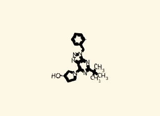 CC(C)(C)c1nc(N2CC[C@H](O)C2)c2nnn(Cc3[c]cccc3)c2n1